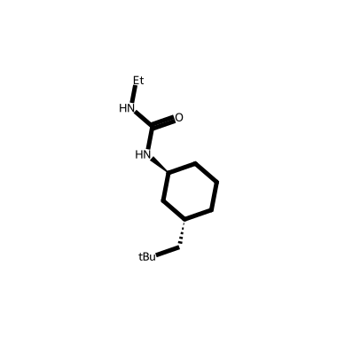 CCNC(=O)N[C@H]1CCC[C@H](CC(C)(C)C)C1